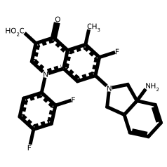 Cc1c(F)c(N2CC3C=CC=CC3(N)C2)cc2c1c(=O)c(C(=O)O)cn2-c1ccc(F)cc1F